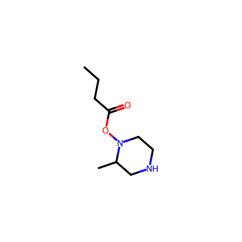 CCCC(=O)ON1CCNCC1C